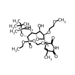 CCOP(=O)(OCC)[C@H](O[Si](C)(C)C(C)(C)C)[C@H](O)[C@H]1O[C@@H](n2cc(C)c(=O)[nH]c2=O)[C@H](OCCOC)[C@@H]1O